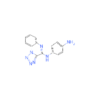 Nc1ccc(Nc2nc3ccccc3n3nnnc23)cc1